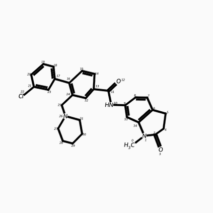 CN1C(=O)CCc2ccc(NC(=O)c3ccc(-c4cccc(Cl)c4)c(CN4CCCCC4)c3)cc21